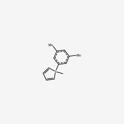 CC(C)(C)c1cc(C(C)(C)C)cc(S2(C)[C]=CC=C2)c1